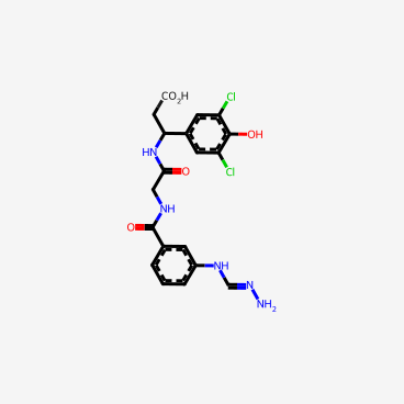 NN=CNc1cccc(C(=O)NCC(=O)NC(CC(=O)O)c2cc(Cl)c(O)c(Cl)c2)c1